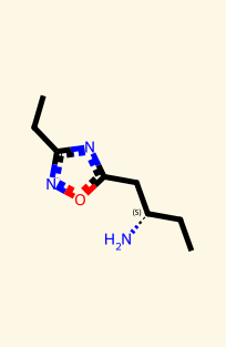 CCc1noc(C[C@@H](N)CC)n1